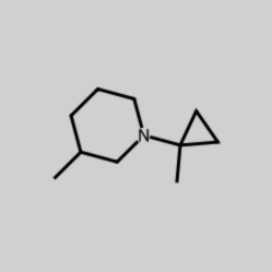 CC1CCCN(C2(C)CC2)C1